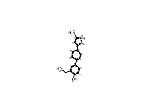 CCc1cc(-c2ccc(-c3cc(N)[nH]n3)cc2)ccc1O